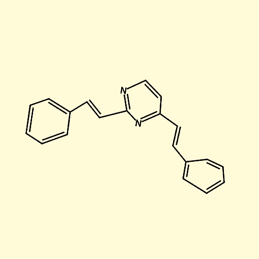 C(=Cc1ccnc(C=Cc2ccccc2)n1)c1ccccc1